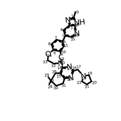 Cc1nc2cc(-c3ccc4c(c3)CN(c3nc(CN5CCCC5)nc5c3CC(C)(C)CC5)CCO4)cnc2[nH]1